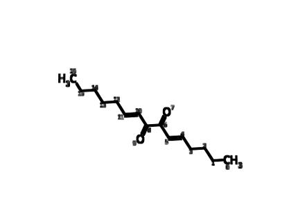 CCCCC=CC(=O)C(=O)C=CCCCCC